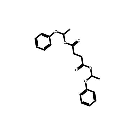 CC(OC(=O)CCC(=O)OC(C)Oc1ccccc1)Oc1ccccc1